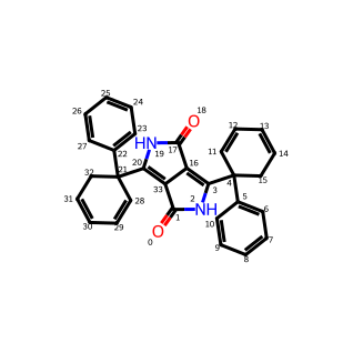 O=C1NC(C2(c3ccccc3)C=CC=CC2)=C2C(=O)NC(C3(c4ccccc4)C=CC=CC3)=C12